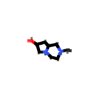 CC(C)(C)N1CCN2CC(O)CC2C1